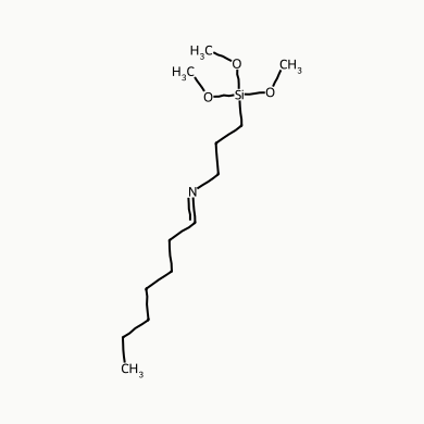 CCCCCCC=NCCC[Si](OC)(OC)OC